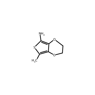 Cc1sc(N)c2c1OCCO2